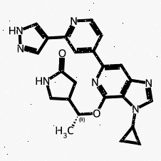 C[C@@H](Oc1nc(-c2ccnc(-c3cn[nH]c3)c2)cc2ncn(C3CC3)c12)C1CNC(=O)C1